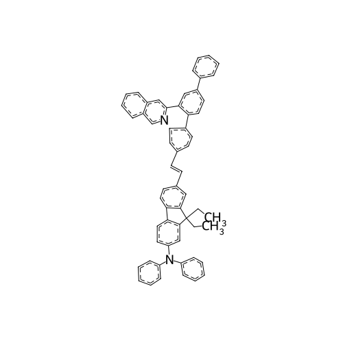 CCC1(CC)c2cc(/C=C/c3ccc(-c4ccc(-c5ccccc5)cc4-c4cc5ccccc5cn4)cc3)ccc2-c2ccc(N(c3ccccc3)c3ccccc3)cc21